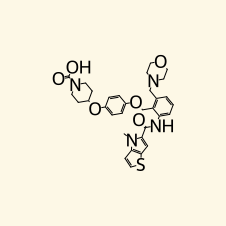 Cn1c(C(=O)Nc2cccc(CN3CCOCC3)c2COc2ccc(OC3CCN(C(=O)O)CC3)cc2)cc2sccc21